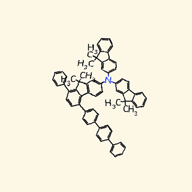 CC1(C)c2ccccc2-c2ccc(N(c3ccc4c(c3)C(C)(C)c3ccccc3-4)c3ccc4c(c3)C(C)(C)c3c(-c5ccccc5)ccc(-c5ccc(-c6ccc(-c7ccccc7)cc6)cc5)c3-4)cc21